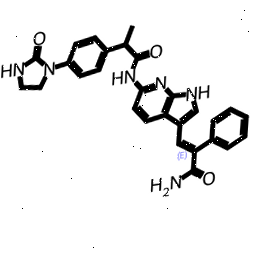 CC(C(=O)Nc1ccc2c(/C=C(/C(N)=O)c3ccccc3)c[nH]c2n1)c1ccc(N2CCNC2=O)cc1